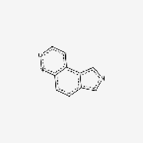 c1cc2c(ccc3cncc32)no1